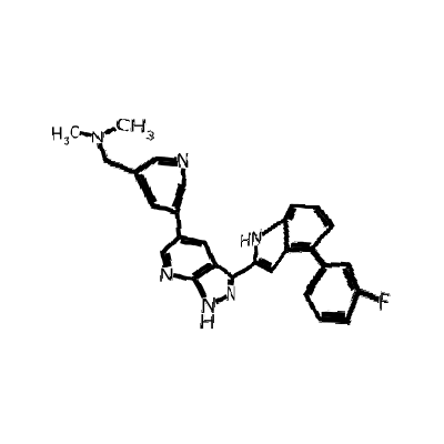 CN(C)Cc1cncc(-c2cnc3[nH]nc(-c4cc5c(-c6cccc(F)c6)cccc5[nH]4)c3c2)c1